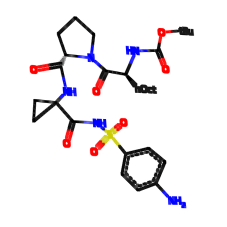 CCCCCCCC[C@H](NC(=O)OC(C)(C)C)C(=O)N1CCC[C@H]1C(=O)NC1(C(=O)NS(=O)(=O)c2ccc(N)cc2)CC1